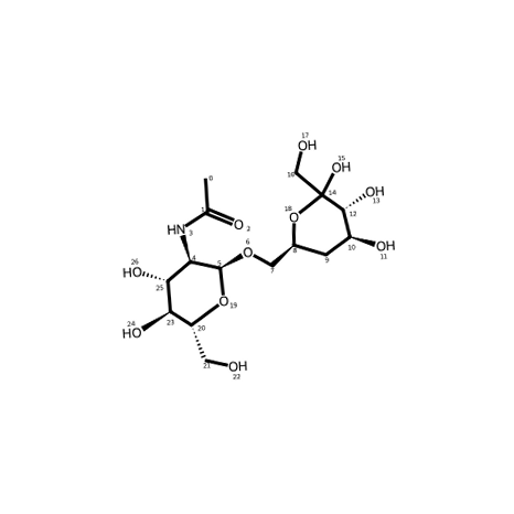 CC(=O)N[C@H]1[C@@H](OC[C@@H]2C[C@H](O)[C@@H](O)C(O)(CO)O2)O[C@H](CO)[C@@H](O)[C@@H]1O